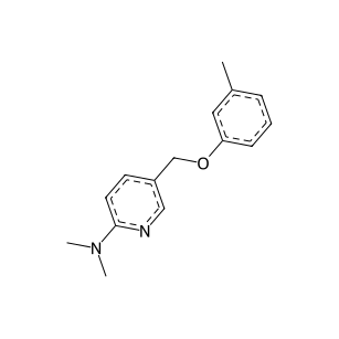 Cc1cccc(OCc2ccc(N(C)C)nc2)c1